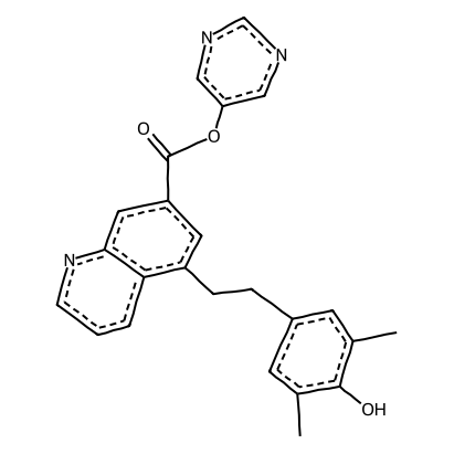 Cc1cc(CCc2cc(C(=O)Oc3cncnc3)cc3ncccc23)cc(C)c1O